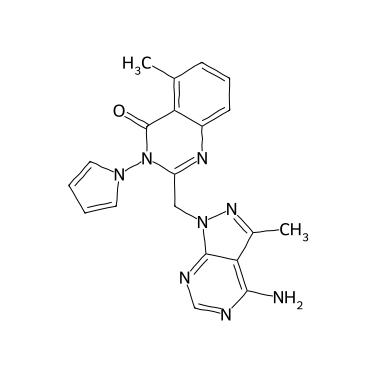 Cc1nn(Cc2nc3cccc(C)c3c(=O)n2-n2cccc2)c2ncnc(N)c12